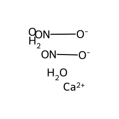 O.O.O=N[O-].O=N[O-].[Ca+2]